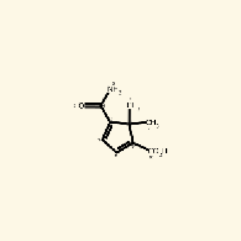 CC1(C)C(C(N)=O)=CC=C1C(=O)O